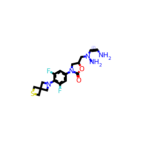 N/C=C\N(N)CC1CN(c2cc(F)c(N3CC4(CSC4)C3)c(F)c2)C(=O)O1